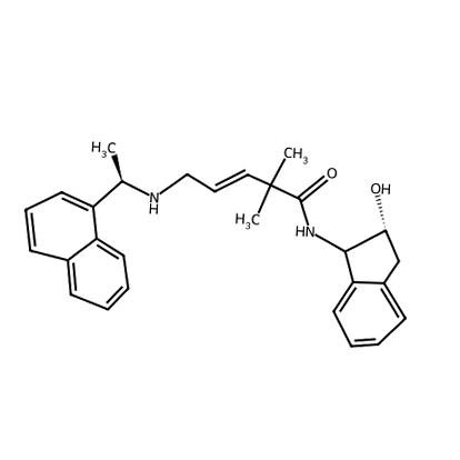 C[C@@H](NC/C=C/C(C)(C)C(=O)NC1c2ccccc2C[C@H]1O)c1cccc2ccccc12